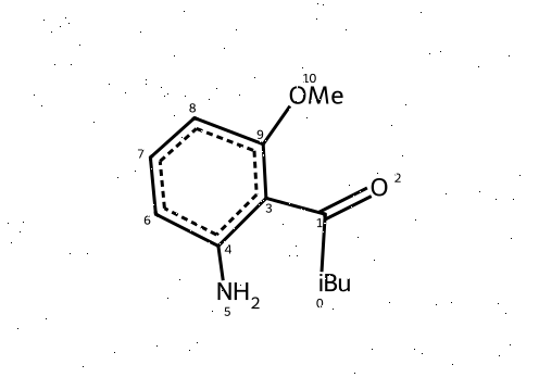 CCC(C)C(=O)c1c(N)cccc1OC